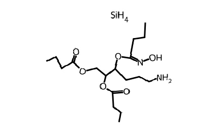 CCCC(=O)OCC(OC(=O)CCC)C(CCCN)OC(CCC)=NO.[SiH4]